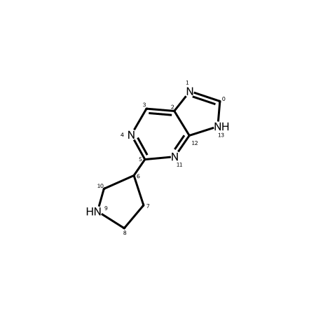 c1nc2cnc(C3CCNC3)nc2[nH]1